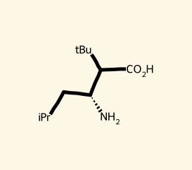 CC(C)C[C@@H](N)C(C(=O)O)C(C)(C)C